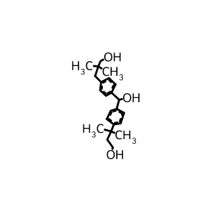 CC(C)(CO)Cc1ccc(C(O)c2ccc(C(C)(C)CCO)cc2)cc1